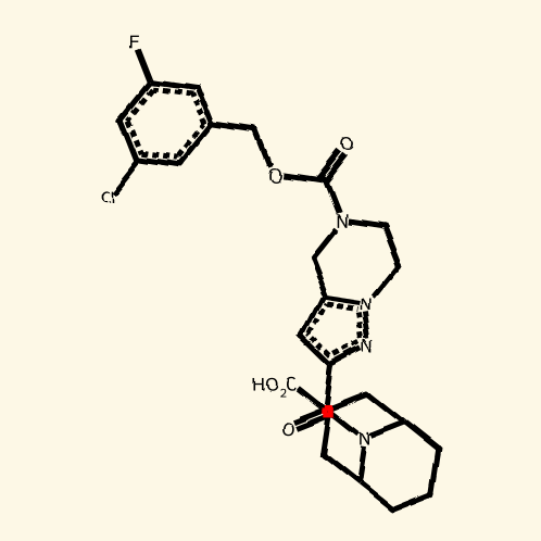 O=C(O)C1CC2CCCC(C1)N2C(=O)c1cc2n(n1)CCN(C(=O)OCc1cc(F)cc(Cl)c1)C2